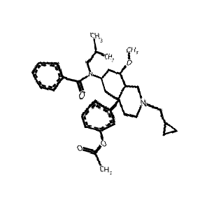 COC1CC(N(CC(C)C)C(=O)c2ccccc2)CC2(c3cccc(OC(C)=O)c3)CCN(CC3CC3)CC12